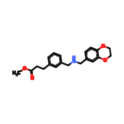 COC(=O)CCc1cccc(CNCc2ccc3c(c2)OCCO3)c1